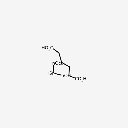 CCCCCCC[CH2][Sn][CH2]CCCCCCC.O=C(O)CCCCC(=O)O